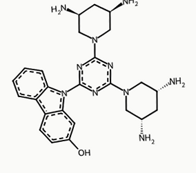 N[C@@H]1C[C@H](N)CN(c2nc(N3C[C@H](N)C[C@H](N)C3)nc(-n3c4ccccc4c4ccc(O)cc43)n2)C1